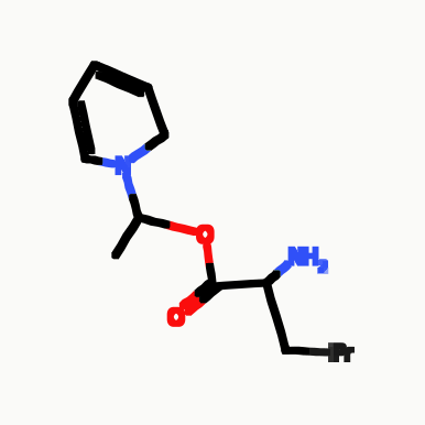 CC(C)CC(N)C(=O)OC(C)N1C=CC=CC1